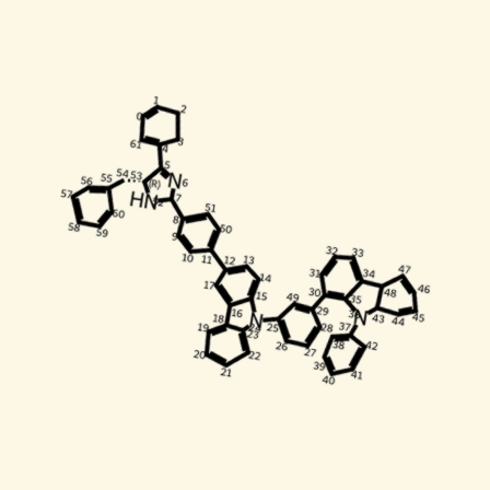 C1=CCCC(C2=NC(c3ccc(-c4ccc5c(c4)c4ccccc4n5-c4cccc(-c5cccc6c5N(c5ccccc5)C5C=CC=CC65)c4)cc3)N[C@@H]2Cc2ccccc2)=C1